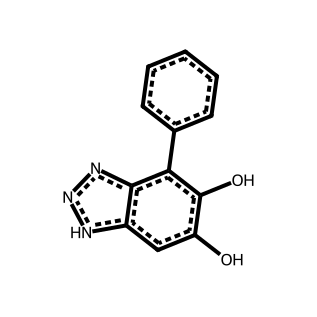 Oc1cc2[nH]nnc2c(-c2ccccc2)c1O